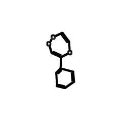 c1ccc(-c2coocco2)cc1